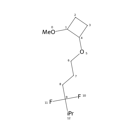 COC1CCC1OCCCC(F)(F)C(C)C